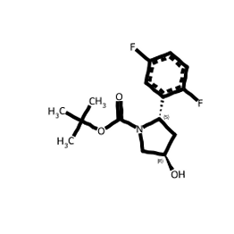 CC(C)(C)OC(=O)N1C[C@H](O)C[C@H]1c1cc(F)ccc1F